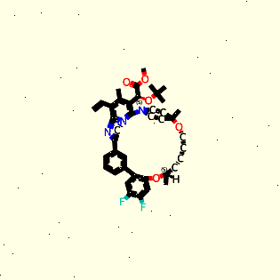 C=Cc1c(C)c([C@H](OC(C)(C)C)C(=O)OC)c2n3cc(nc13)-c1cccc(c1)-c1cc(F)c(F)cc1O[C@@H](C)CCCCOC1(C)CCN2CC1